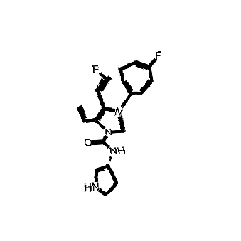 C=CC1=C(/C=C(\C)F)N(C2=CCC=C(F)C=C2)CCN1C(=O)N[C@@H]1CCNC1